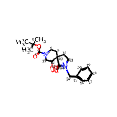 CC(C)(C)OC(=O)N1CCC2(CCN(Cc3ccccc3)C2=O)C(O)C1